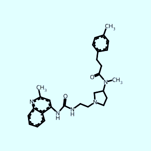 Cc1ccc(CCC(=O)N(C)C2CCN(CCNC(=O)Nc3cc(C)nc4ccccc34)C2)cc1